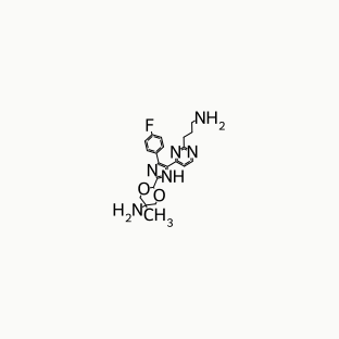 CC1(N)COC(c2nc(-c3ccc(F)cc3)c(-c3ccnc(CCCN)n3)[nH]2)OC1